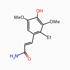 CCc1c(C=CC(N)=O)cc(OC)c(O)c1OC